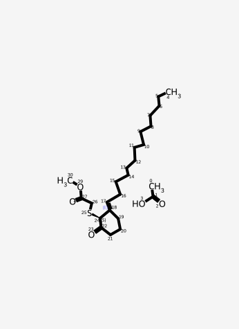 CC(=O)O.CCCCCCCCCCCCC/C=C1\CCCC(=O)[C@H]1SCC(=O)OC